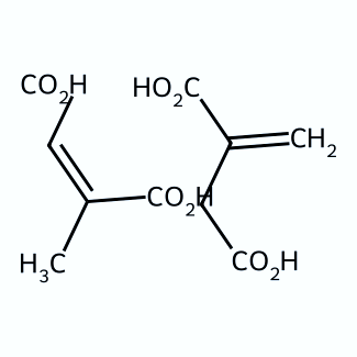 C/C(=C/C(=O)O)C(=O)O.C=C(CC(=O)O)C(=O)O